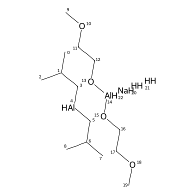 CC(C)[CH2][AlH][CH2]C(C)C.COCC[O][AlH][O]CCOC.[HH].[HH].[NaH]